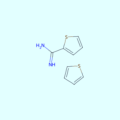 N=C(N)c1cccs1.c1ccsc1